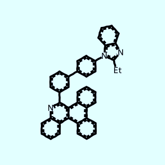 CCc1nc2ccccc2n1-c1ccc(-c2cccc(-c3nc4ccccc4c4c5ccccc5c5ccccc5c34)c2)cc1